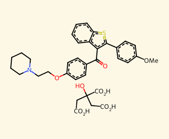 COc1ccc(-c2sc3ccccc3c2C(=O)c2ccc(OCCN3CCCCC3)cc2)cc1.O=C(O)CC(O)(CC(=O)O)C(=O)O